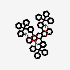 c1ccc(N2c3ccccc3C(c3ccccc3)(c3ccccc3)c3cccc(-c4cccc5c(-c6cccc7c6N(c6ccccc6)c6ccccc6C7(c6ccccc6)c6ccccc6)c6cccc(-c7cccc8c7N(c7ccccc7)c7ccccc7C8(c7ccccc7)c7ccccc7)c6cc45)c32)cc1